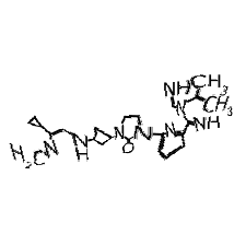 C=N/C(=C\NC1CC(N2CCN(c3cccc(C(=N)N(C=N)C(C)C)n3)C2=O)C1)C1CC1